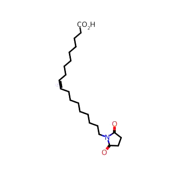 O=C(O)CCCCCCC/C=C\CCCCCCCCN1C(=O)CCC1=O